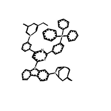 CCC1=CN(c2cccc(-c3cc(-n4c5ccccc5c5ccc(N6C=C7CC(C)CC6C7)cc54)nc(-c4cccc(S(c5ccccc5)(c5ccccc5)c5ccccc5)c4)n3)c2)CC(C)C1